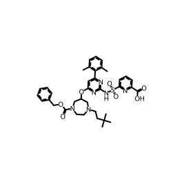 Cc1cccc(C)c1-c1cc(OC2CN(CCC(C)(C)C)CCN(C(=O)OCc3ccccc3)C2)nc(NS(=O)(=O)c2cccc(C(=O)O)n2)n1